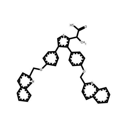 CC(C(=O)S)c1scc(-c2ccc(OCc3ccc4ccccc4n3)cc2)c1-c1ccc(OCc2ccc3ccccc3n2)cc1